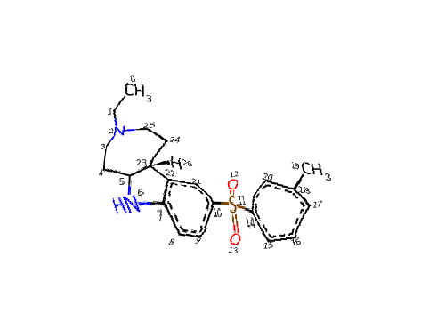 CCN1CCC2Nc3ccc(S(=O)(=O)c4cccc(C)c4)cc3[C@H]2CC1